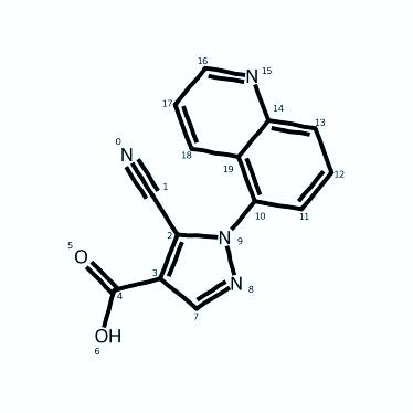 N#Cc1c(C(=O)O)cnn1-c1cccc2ncccc12